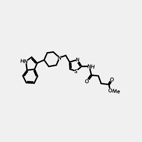 COC(=O)CCC(=O)Nc1nc(CN2CCC(c3c[nH]c4ccccc34)CC2)cs1